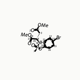 COC(=O)C[C@H](NP(C)(=O)Oc1ccc(Br)cc1)C(=O)OC